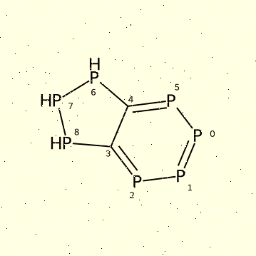 p1ppc2c(p1)PPP2